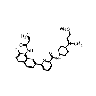 C=CC(=O)Nc1c(Cl)ccc2ccc(-c3cccc(C(=O)N[C@H]4CC[C@H](N(C)CCOC)CC4)n3)cc12